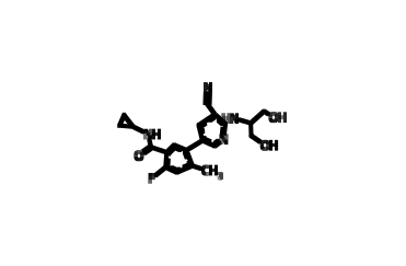 Cc1cc(F)c(C(=O)NC2CC2)cc1-c1cnc(NC(CO)CO)c(C#N)c1